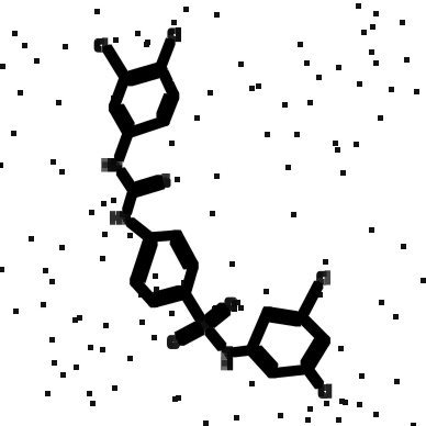 O=S(=O)(Nc1cc(Cl)cc(Cl)c1)c1ccc(NC(=S)Nc2ccc(Cl)c(Cl)c2)cc1